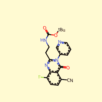 CC(C)(C)OC(=O)NCCc1nc2c(F)ccc(C#N)c2c(=O)n1-c1cccnc1